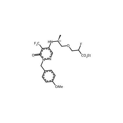 CCOC(=O)C(F)COC[C@H](C)Nc1cnn(Cc2ccc(OC)cc2)c(=O)c1C(F)(F)F